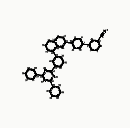 N#Cc1cccc(-c2ccc(-c3ccc4cccc(-c5cccc(-c6nc(-c7ccccc7)nc(-c7ccccc7)n6)c5)c4c3)cc2)c1